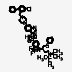 CC(C)N(CC[C@H](CSc1ccccc1)Nc1ccc(S(=O)(=O)Nc2ncnc3cc(N4CCN(Cc5cc(Cl)ccc5-c5ccccc5)CC4)ccc23)cc1C(F)(F)F)C(C)C